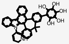 CC1(C)c2cc(-c3c(O)c(O)c(O)c(O)c3O)ccc2-c2c(c3c(c4ccccc24)c2ccccc2n3C2=CNCC=C2)-c2ccccc21